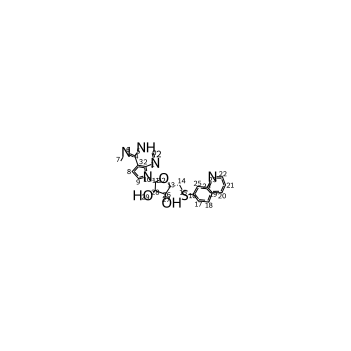 C=Nc1c(/C(N)=N\C)ccn1[C@@H]1O[C@H](CSc2ccc3cccnc3c2)[C@@H](O)[C@H]1O